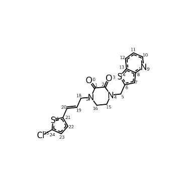 O=C1C(=O)N(Cc2cc3ncccc3s2)CCN1C/C=C/c1ccc(Cl)s1